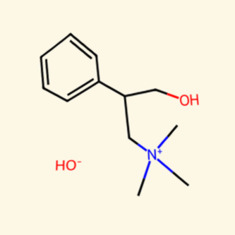 C[N+](C)(C)CC(CO)c1ccccc1.[OH-]